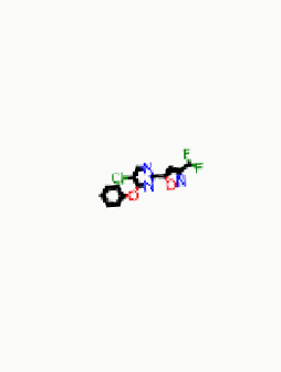 FC(F)c1cc(-c2ncc(Cl)c(Oc3ccccc3)n2)on1